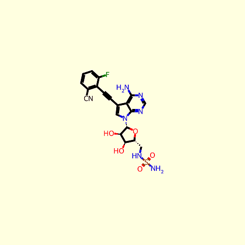 N#Cc1cccc(F)c1C#Cc1cn([C@@H]2O[C@H](CNS(N)(=O)=O)[C@@H](O)[C@H]2O)c2ncnc(N)c12